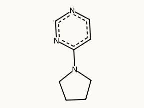 [c]1nccc(N2CCCC2)n1